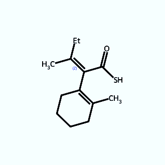 CC/C(C)=C(\C(=O)S)C1=C(C)CCCC1